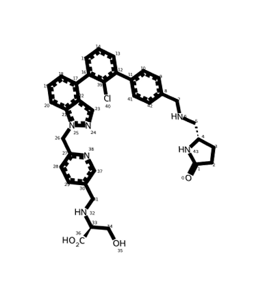 O=C1CC[C@@H](CNCc2ccc(-c3cccc(-c4cccc5c4cnn5Cc4ccc(CN[C@@H](CO)C(=O)O)cn4)c3Cl)cc2)N1